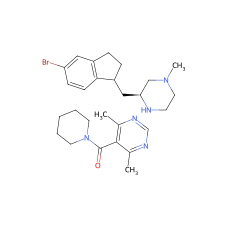 CN1CCN[C@@H](CC2CCc3cc(Br)ccc32)C1.Cc1ncnc(C)c1C(=O)N1CCCCC1